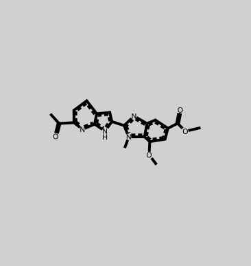 COC(=O)c1cc(OC)c2c(c1)nc(-c1cc3ccc(C(C)=O)nc3[nH]1)n2C